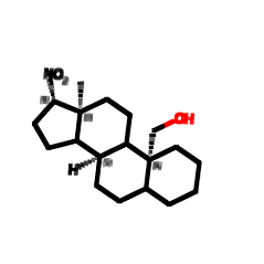 C[C@]12CCC3[C@@H](CCC4CCCC[C@@]43CO)C1CC[C@@H]2[N+](=O)[O-]